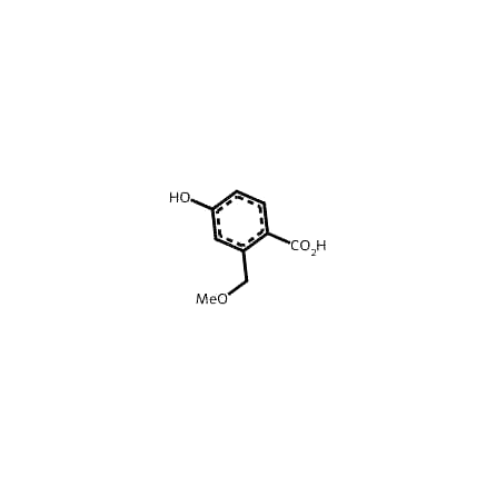 COCc1cc(O)ccc1C(=O)O